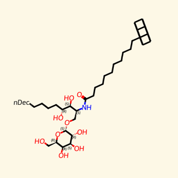 CCCCCCCCCCCCCC[C@@H](O)[C@@H](O)[C@H](CO[C@H]1O[C@H](CO)[C@H](O)[C@H](O)[C@H]1O)NC(=O)CCCCCCCCCCC12C3C4C5C3C1C5C42